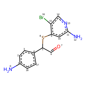 Nc1ccc(C(C=O)Sc2cc(N)ncc2Br)cc1